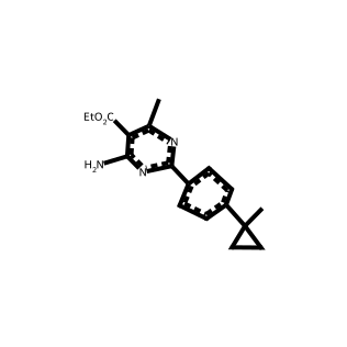 CCOC(=O)c1c(C)nc(-c2ccc(C3(C)CC3)cc2)nc1N